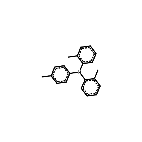 Cc1ccc(N(c2ccccc2C)c2ccccc2C)cc1